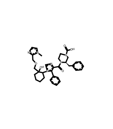 Cn1ccnc1COCC1(O)CCCCC1n1cnc(C(=O)N2CCN(C(=O)O)C[C@H]2Cc2ccccc2)c1-c1ccccc1